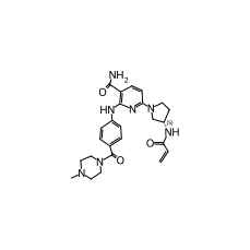 C=CC(=O)N[C@H]1CCN(c2ccc(C(N)=O)c(Nc3ccc(C(=O)N4CCN(C)CC4)cc3)n2)C1